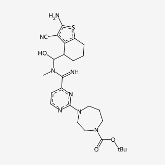 CN(C(=N)c1ccnc(N2CCCN(C(=O)OC(C)(C)C)CC2)n1)C(O)C1CCCc2sc(N)c(C#N)c21